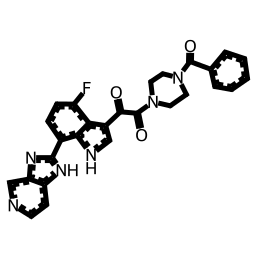 O=C(C(=O)N1CCN(C(=O)c2ccccc2)CC1)c1c[nH]c2c(-c3nc4cnccc4[nH]3)ccc(F)c12